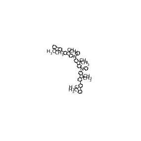 CC1(C)c2ccccc2-c2ccc(-c3ccc4c(c3)C(C)(C)c3cc(N(c5ccccc5)c5ccc6c(c5)C(C)(C)c5cc(N(c7ccccc7)c7ccc8c(c7)C(C)(C)c7cc(-c9ccc%10c(c9)C(C)(C)c9ccccc9-%10)ccc7-8)ccc5-6)ccc3-4)cc21